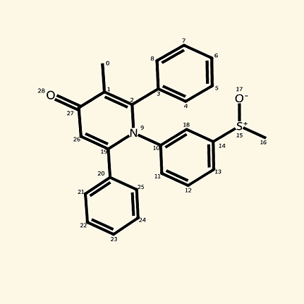 Cc1c(-c2ccccc2)n(-c2cccc([S+](C)[O-])c2)c(-c2ccccc2)cc1=O